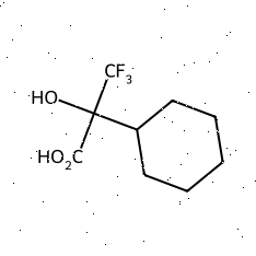 O=C(O)C(O)(C1CCCCC1)C(F)(F)F